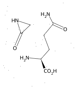 NC(=O)CC[C@H](N)C(=O)O.O=C1CN1